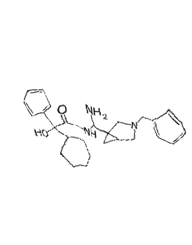 NC(NC(=O)C(O)(c1ccccc1)C1CCCCC1)C12CC1CN(Cc1ccccc1)C2